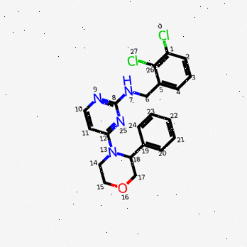 Clc1cccc(CNc2nccc(N3CCOCC3c3ccccc3)n2)c1Cl